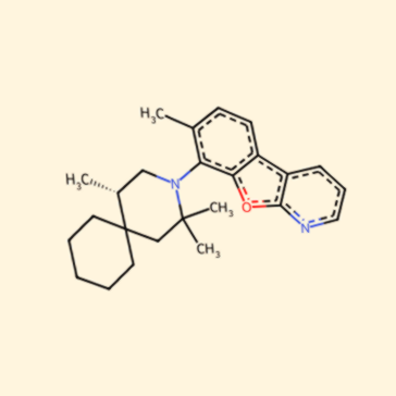 Cc1ccc2c(oc3ncccc32)c1N1C[C@@H](C)C2(CCCCC2)CC1(C)C